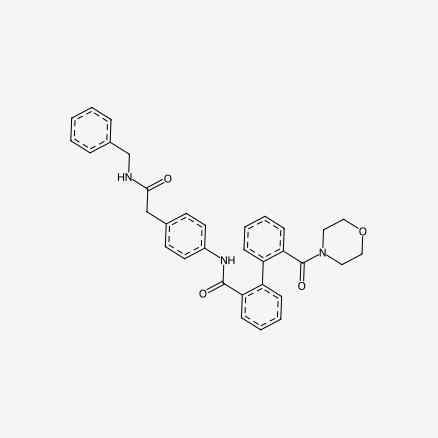 O=C(Cc1ccc(NC(=O)c2ccccc2-c2ccccc2C(=O)N2CCOCC2)cc1)NCc1ccccc1